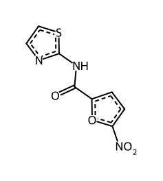 O=C(Nc1nccs1)c1ccc([N+](=O)[O-])o1